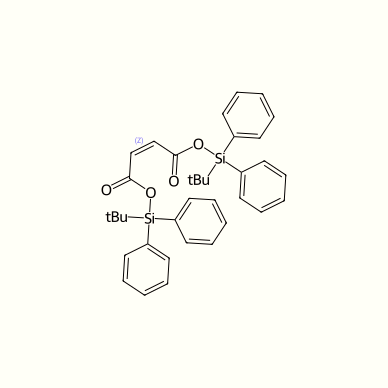 CC(C)(C)[Si](OC(=O)/C=C\C(=O)O[Si](c1ccccc1)(c1ccccc1)C(C)(C)C)(c1ccccc1)c1ccccc1